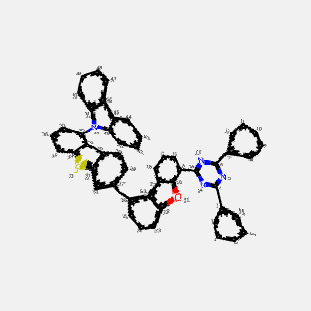 c1ccc(-c2nc(-c3ccccc3)nc(-c3cccc4c3oc3cccc(-c5ccc6c(c5)sc5cccc(-n7c8ccccc8c8ccccc87)c56)c34)n2)cc1